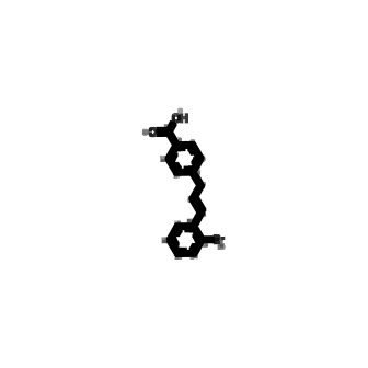 O=C(O)c1ccc(C/C=C/c2ccccc2Br)cc1